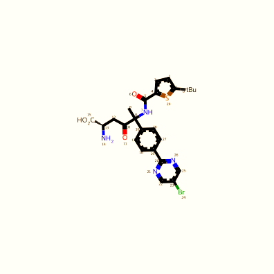 CC(C)(C)c1ccc(C(=O)NC(C)(C(=O)C[C@@H](N)C(=O)O)c2ccc(-c3ncc(Br)cn3)cc2)s1